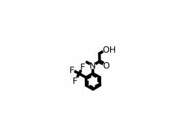 CN(C(=O)CO)c1ccccc1C(F)(F)F